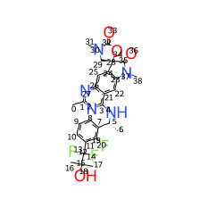 Cc1nc(N[C@H](C)c2cccc(C(F)(F)C(C)(C)O)c2F)c2cc3c(cc2n1)[C@@]1(CN(C)C(=O)O1)C(=O)N3C